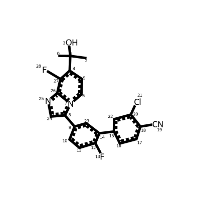 CC(C)(O)c1ccn2c(-c3ccc(F)c(-c4ccc(C#N)c(Cl)c4)c3)cnc2c1F